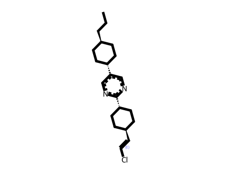 CCC[C@H]1CC[C@H](c2cnc([C@H]3CC[C@H](/C=C/Cl)CC3)nc2)CC1